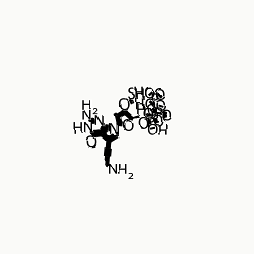 NCC#Cc1cn([C@H]2CC(OCS)[C@@H](COP(=O)(O)OP(=O)(O)OP(=O)(O)O)O2)c2nc(N)[nH]c(=O)c12